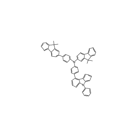 CC1(C)c2ccccc2-c2ccc(-c3ccc(N(c4ccc(-c5cccc6c5c5ccccc5n6-c5ccccc5)cc4)c4ccc5c(c4)C(C)(C)c4ccccc4-5)cc3)cc21